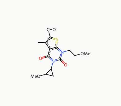 COCCn1c(=O)n(C2CC2OC)c(=O)c2c(C)c(C=O)sc21